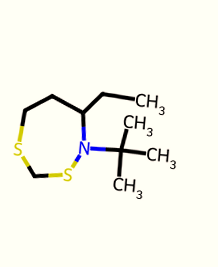 CCC1CCSCSN1C(C)(C)C